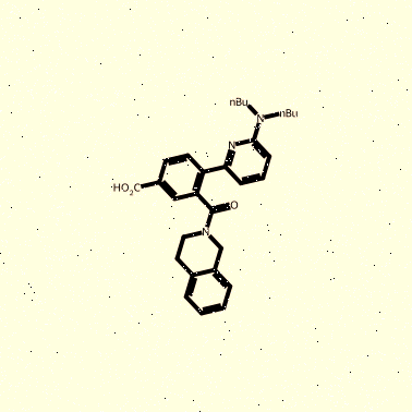 CCCCN(CCCC)c1cccc(-c2ccc(C(=O)O)cc2C(=O)N2CCc3ccccc3C2)n1